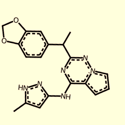 Cc1cc(Nc2nc(C(C)c3ccc4c(c3)OCO4)nn3cccc23)n[nH]1